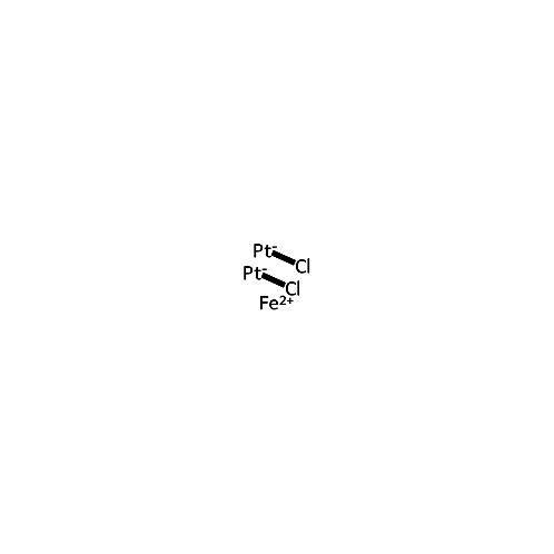 [Cl][Pt-].[Cl][Pt-].[Fe+2]